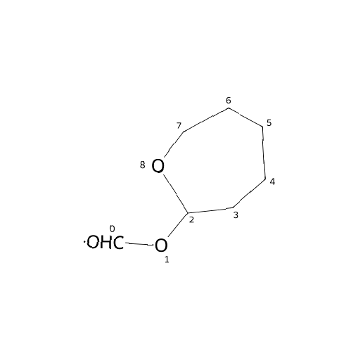 O=[C]OC1CCCCCO1